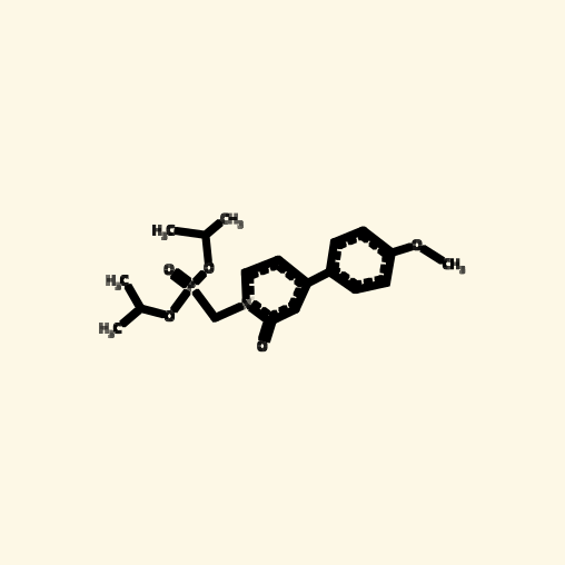 COc1ccc(-c2ccn(CP(=O)(OC(C)C)OC(C)C)c(=O)c2)cc1